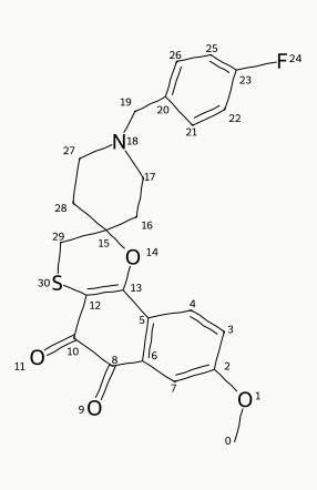 COc1ccc2c(c1)C(=O)C(=O)C1=C2OC2(CCN(Cc3ccc(F)cc3)CC2)CS1